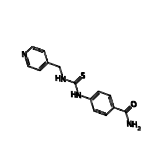 NC(=O)c1ccc(NC(=S)NCc2ccncc2)cc1